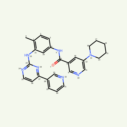 Cc1ccc(NC(=O)c2cncc(N3CCCCC3)c2)cc1Nc1nccc(-c2cccnc2)n1